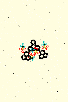 O=S(=O)(OC1=CC(OS(=O)(=O)C(F)(F)F)(c2ccc3c4ccccc4c4ccc(C5(OS(=O)(=O)C(F)(F)F)C=C(OS(=O)(=O)C(F)(F)F)c6cccc7cccc5c67)cc4c3c2)c2cccc3cccc1c23)C(F)(F)F